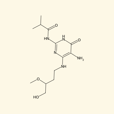 COC(CO)CCNc1nc(NC(=O)C(C)C)[nH]c(=O)c1N